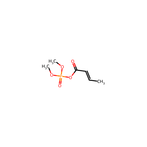 CC=CC(=O)OP(=O)(OC)OC